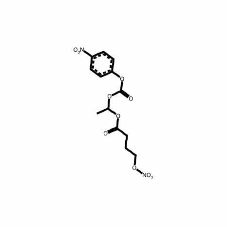 CC(OC(=O)CCCO[N+](=O)[O-])OC(=O)Oc1ccc([N+](=O)[O-])cc1